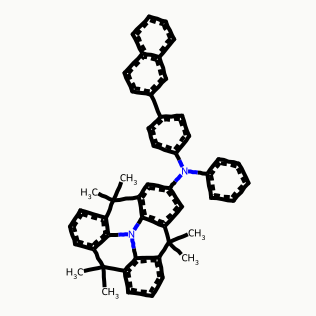 CC1(C)c2cccc3c2N2c4c1cccc4C(C)(C)c1cc(N(c4ccccc4)c4ccc(-c5ccc6ccccc6c5)cc4)cc(c12)C3(C)C